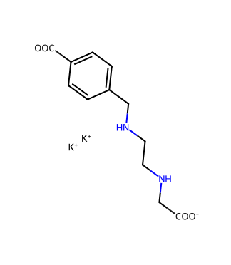 O=C([O-])CNCCNCc1ccc(C(=O)[O-])cc1.[K+].[K+]